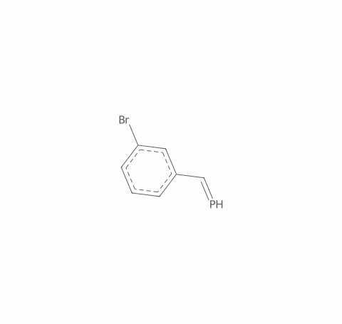 P=Cc1cccc(Br)c1